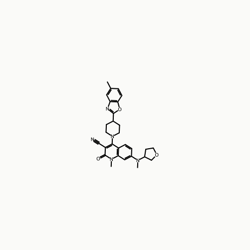 Cc1ccc2oc(C3CCN(c4c(C#N)c(=O)n(C)c5cc(N(C)C6CCOC6)ccc45)CC3)nc2c1